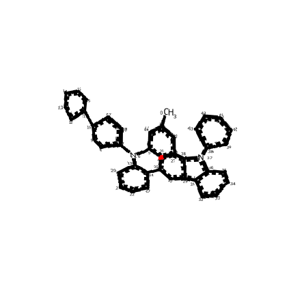 Cc1cccc(N(c2ccc(-c3ccccc3)cc2)c2ccccc2-c2ccc3c(c2)c2ccccc2n3-c2ccccc2)c1